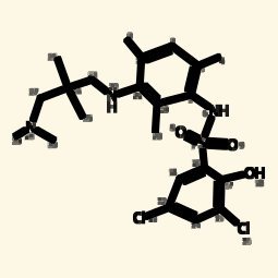 Cc1cc(C)c(NS(=O)(=O)c2cc(Cl)cc(Cl)c2O)c(C)c1NCC(C)(C)CN(C)C